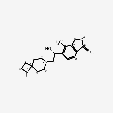 Cc1c([C@@H](O)CN2CCC3(CCN3)CC2)ccc2c1COC2=O